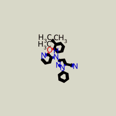 CC(C)(C)c1ccccc1Oc1ncccc1Nc1cc(C#N)n(-c2ccccc2)n1